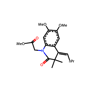 CCC/C=C1/c2cc(OC)c(OC)cc2N(CC(=O)OC)C(=O)C1(C)C